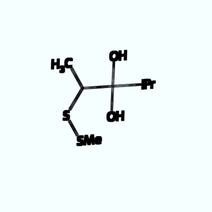 CSSC(C)C(O)(O)C(C)C